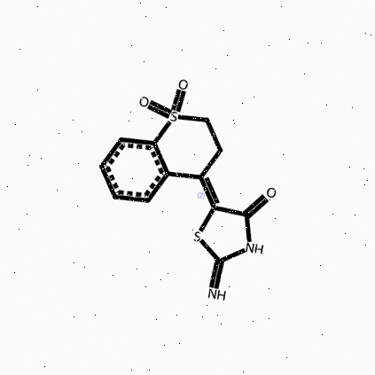 N=C1NC(=O)/C(=C2\CCS(=O)(=O)c3ccccc32)S1